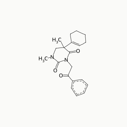 CN1CC(C)(C2=CCCCC2)C(=O)N(CC(=O)c2ccccc2)C1=O